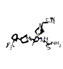 N#CCCN1CCN(c2cc(N3CCC(c4cccc(C(F)(F)F)c4)CC3)c(F)cc2/C=N/NC(N)=S)CC1